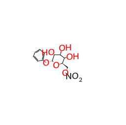 O=[N+]([O-])OC[C@H]1O[C@H](Oc2ccccc2)[C@H](O)[C@@H](O)[C@H]1O